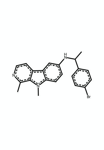 Cc1nccc2c3cc(NC(C)c4ccc(Br)cc4)ccc3n(C)c12